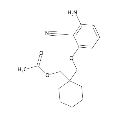 CC(=O)OCC1(COc2cccc(N)c2C#N)CCCCC1